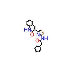 O=C(Cc1ccccc1)Nc1nc(-c2cc3ccccc3[nH]c2=O)cs1